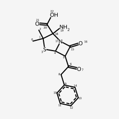 CC1(C)SC2C(C(=O)Cc3ccccc3)C(=O)N2C1(N)C(=O)O